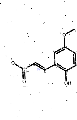 COc1ccc(O)c(/C=C/[N+](=O)[O-])c1